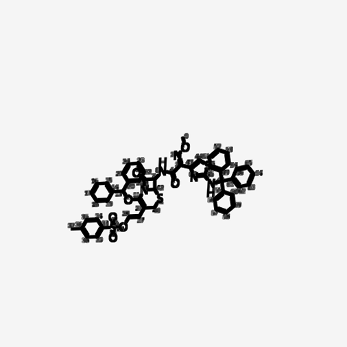 CON=C(C(=O)NC1C(=O)N2C(OC(c3ccccc3)c3ccccc3)=C(C=COS(=O)(=O)c3ccc(C)cc3)CSC12)c1csc(NC(c2ccccc2)(c2ccccc2)c2ccccc2)n1